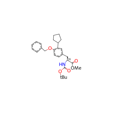 COC(=O)[C@H](Cc1ccc(OCc2ccccc2)c(C2CCCC2)c1)NC(=O)OC(C)(C)C